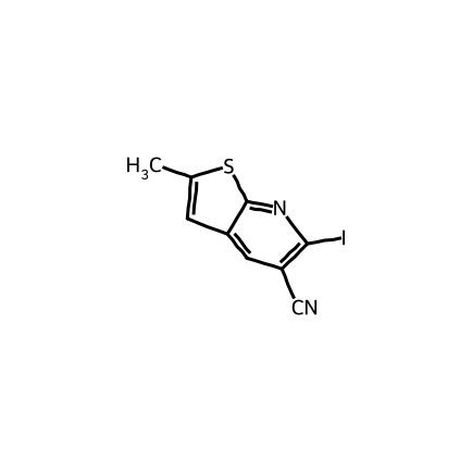 Cc1cc2cc(C#N)c(I)nc2s1